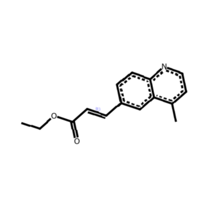 CCOC(=O)/C=C/c1ccc2nccc(C)c2c1